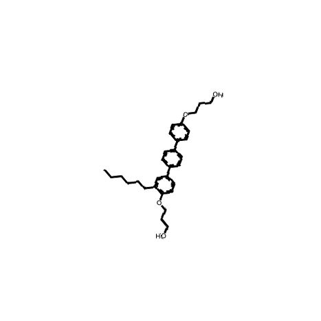 CCCCCCc1cc(-c2ccc(-c3ccc(OCCCO)cc3)cc2)ccc1OCCCO